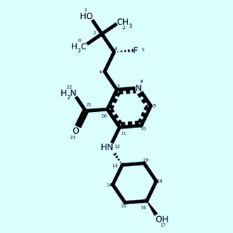 CC(C)(O)[C@H](F)Cc1nccc(N[C@H]2CC[C@H](O)CC2)c1C(N)=O